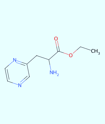 CCOC(=O)C(N)Cc1cnccn1